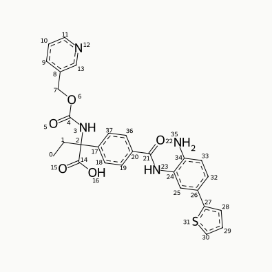 CCC(NC(=O)OCc1cccnc1)(C(=O)O)c1ccc(C(=O)Nc2cc(-c3cccs3)ccc2N)cc1